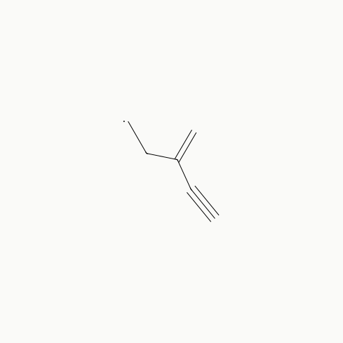 C#CC(=C)C[CH2]